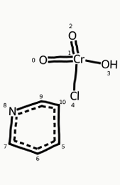 [O]=[Cr](=[O])([OH])[Cl].c1ccncc1